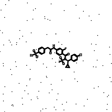 CCS(=O)(=O)c1ccc(CC(=O)Nc2ccc(C(=O)N([C@@H](c3ccc(Cl)cc3)C3CC3)S(C)(=O)=O)c(F)c2)cc1